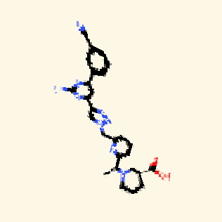 C[C@@H](c1cccc(Cn2cc(-c3cc(-c4cccc(C#N)c4)nc(N)n3)nn2)n1)N1CCC[C@@H](C(=O)O)C1